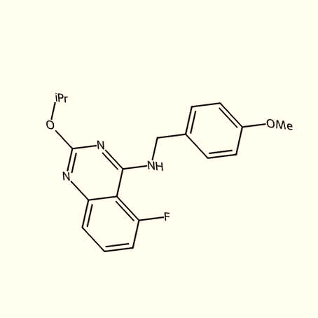 COc1ccc(CNc2nc(OC(C)C)nc3cccc(F)c23)cc1